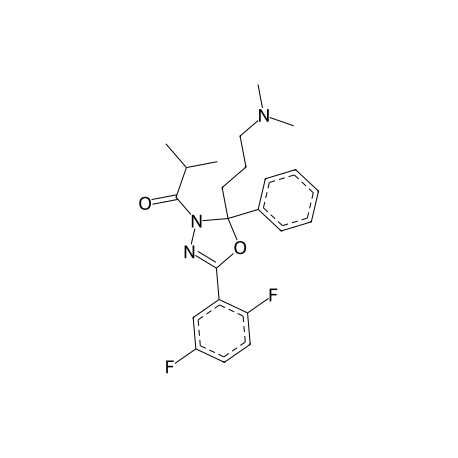 CC(C)C(=O)N1N=C(c2cc(F)ccc2F)OC1(CCCN(C)C)c1ccccc1